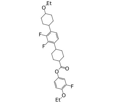 CCOc1ccc(OC(=O)C2CCC(c3ccc(C4CCC(OCC)CC4)c(F)c3F)CC2)cc1F